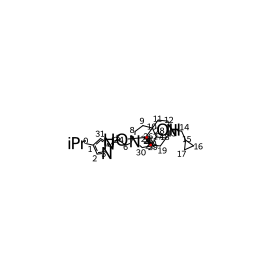 CC(C)c1cnn(CCN2CCC34CCN(CC5CC5)C(Cc5ccc(O)cc53)C4(O)CC2)c1